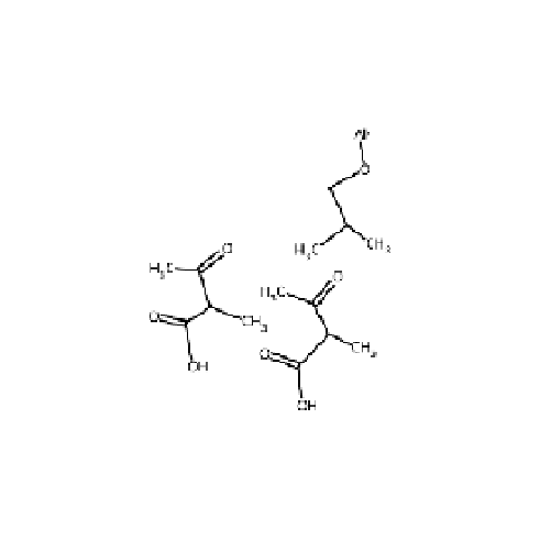 CC(=O)C(C)C(=O)O.CC(=O)C(C)C(=O)O.CC(C)C[O][Al]